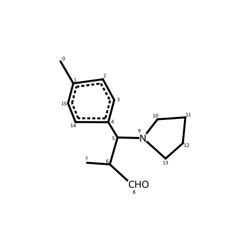 Cc1ccc(C(C(C)C=O)N2CCCC2)cc1